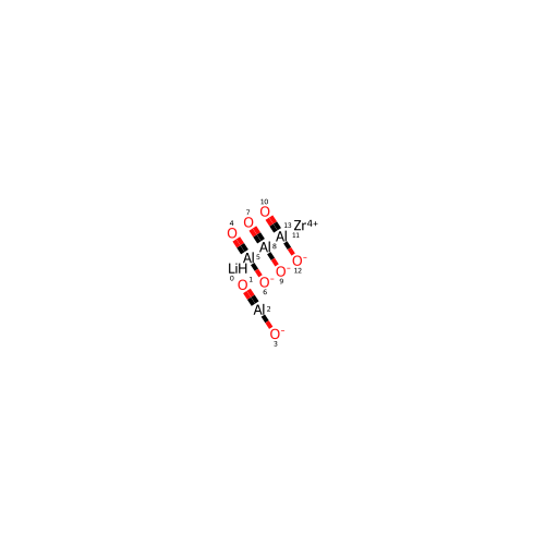 [LiH].[O]=[Al][O-].[O]=[Al][O-].[O]=[Al][O-].[O]=[Al][O-].[Zr+4]